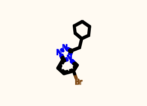 Brc1ccc2nnc(CC3CCCCC3)n2c1